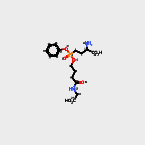 NC(CCP(=O)(OCCCC(=O)NCC(=O)O)Oc1ccccc1)C(=O)O